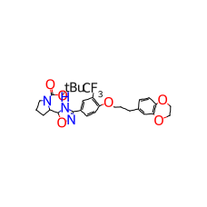 CC(C)(C)OC(=O)N1CCCC1C1NC(c2ccc(OCCCc3ccc4c(c3)OCCO4)c(C(F)(F)F)c2)=NO1